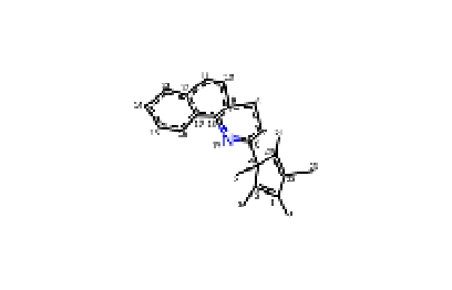 CC1=C(C)C(C)(c2ccc3ccc4ccccc4c3n2)C(C)=C1C